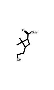 COC(=O)C1CC(CCO)C1(C)C